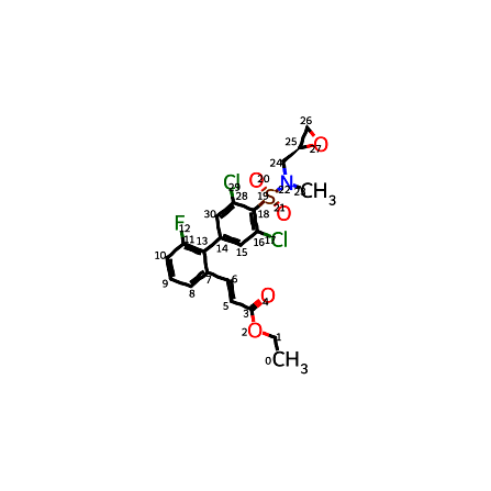 CCOC(=O)/C=C/c1cccc(F)c1-c1cc(Cl)c(S(=O)(=O)N(C)C[C@H]2CO2)c(Cl)c1